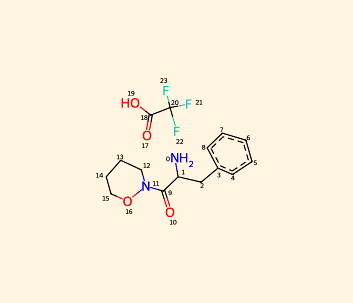 NC(Cc1ccccc1)C(=O)N1CCCCO1.O=C(O)C(F)(F)F